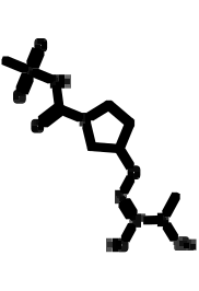 CN(/[N+](O)=N\OC1CCN(C(=O)NS(C)(=O)=O)C1)C(C)(C)C